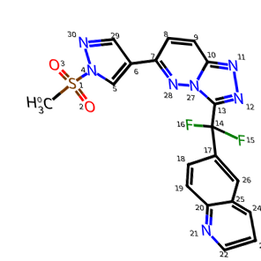 CS(=O)(=O)n1cc(-c2ccc3nnc(C(F)(F)c4ccc5ncccc5c4)n3n2)cn1